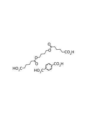 O=C(O)CCCCC(=O)OCCCCOC(=O)CCCCC(=O)O.O=C(O)c1ccc(C(=O)O)cc1